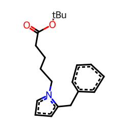 CC(C)(C)OC(=O)CCCCn1cccc1Cc1ccccc1